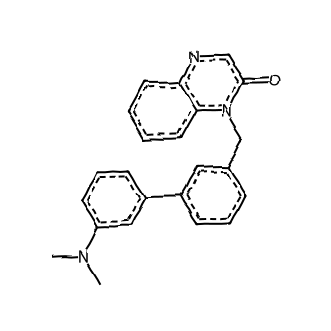 CN(C)c1cccc(-c2cccc(Cn3c(=O)cnc4ccccc43)c2)c1